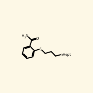 CCCCCCCCCCSc1ccccc1C(N)=O